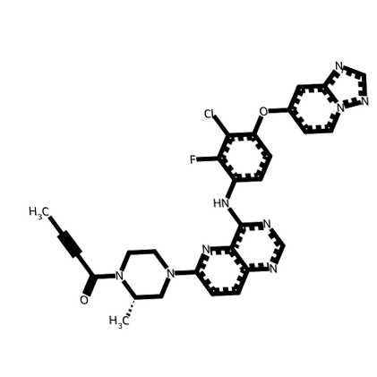 CC#CC(=O)N1CCN(c2ccc3ncnc(Nc4ccc(Oc5ccn6ncnc6c5)c(Cl)c4F)c3n2)C[C@@H]1C